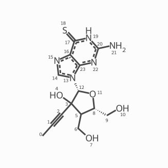 CC#CC1(O)C(CO)[C@@H](CO)O[C@H]1n1cnc2c(=S)[nH]c(N)nc21